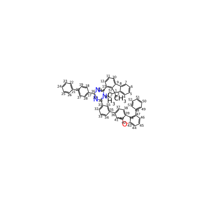 CC1(C)c2ccccc2-c2cccc(-c3nc(-c4ccc(-c5ccccc5)cc4)nc(-c4cccc(-c5ccc6c(c5)oc5cccc(-c7ccccc7)c56)c4)n3)c21